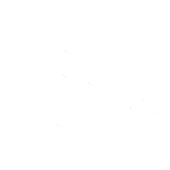 CCc1cc2c(cc1F)c(C#N)c(-c1ccc(S(=O)(=O)NC(C)(C)C)cn1)n2-c1ccccn1